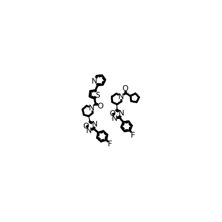 O=C(C1CCCC1)N1CCC[C@H](c2nc(-c3ccc(F)cc3)no2)C1.O=C(c1ccc(-c2ccccn2)s1)N1CCC[C@H](c2nc(-c3ccc(F)cc3)no2)C1